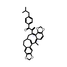 C=C(C(=O)c1ccc(CC(C)C)cc1)/C1=c2\c3c(cc\c2=C(/C)C2=CC(CCc4cc5c(cc42)OCO5)C1)OCO3